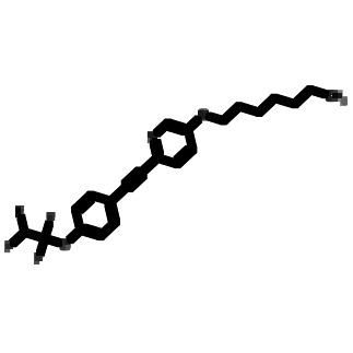 CCCCCCCOc1ccc(C#Cc2ccc(OC(F)(F)C(F)F)cc2)nc1